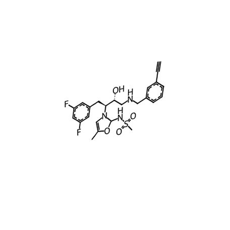 C#Cc1cccc(CNC[C@@H](O)[C@H](Cc2cc(F)cc(F)c2)N2C=C(C)OC2NS(C)(=O)=O)c1